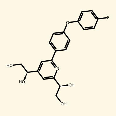 OC[C@H](O)c1cc(-c2ccc(Oc3ccc(F)cc3)cc2)nc([C@@H](O)CO)c1